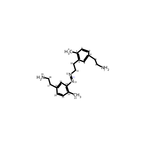 Cc1ccc(CCN)cc1CC/N=N/c1cc(CCN)ccc1C